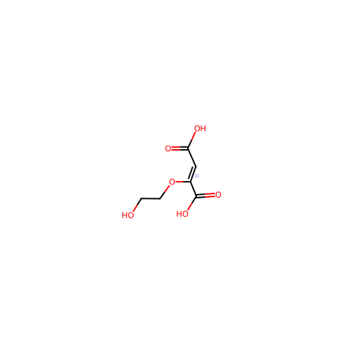 O=C(O)/C=C(\OCCO)C(=O)O